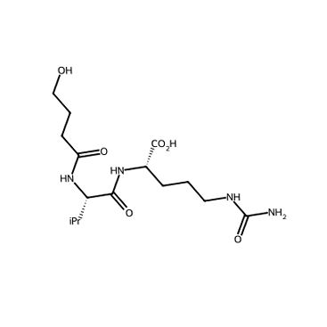 CC(C)[C@H](NC(=O)CCCO)C(=O)N[C@@H](CCCNC(N)=O)C(=O)O